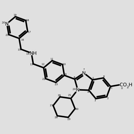 O=C(O)c1ccc2c(c1)nc(-c1ccc(CNCc3cccnc3)cc1)n2C1CCCCC1